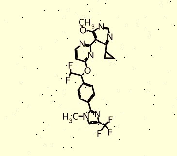 COc1ncnc(C2CC2)c1-c1nccc(O[C@@H](c2ccc(-c3nc(C(F)(F)F)cn3C)cc2)C(F)F)n1